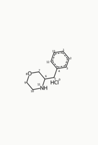 Cl.c1ccc(CC2COCCN2)cc1